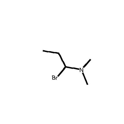 CCC(Br)N(C)C